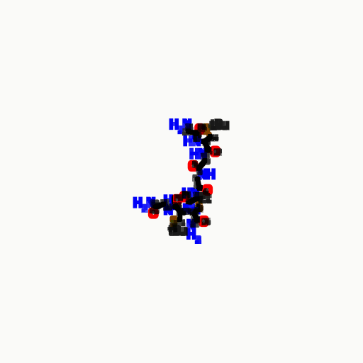 CCC(NC(=O)CNC(=O)CNC(=O)C(CSC(C)(C)C)NC(=O)CN)(SCC(N)=O)C(=O)NC(CSC(C)(C)C)C(=O)NCC(N)=O